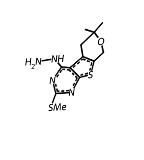 CSc1nc(NN)c2c3c(sc2n1)COC(C)(C)C3